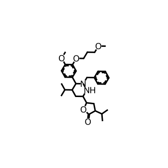 COCCCOc1cc(C2C(C(C)C)CC(C3CC(C(C)C)C(=O)O3)NN2Cc2ccccc2)ccc1OC